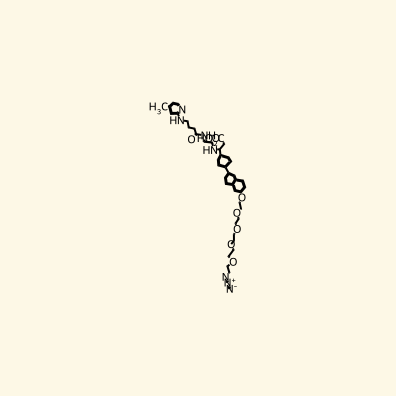 Cc1ccnc(NCCCC(=O)NCC(=O)NC(CC(=O)O)c2ccc(-c3ccc4cc(OCCOCCOCCOCCOCCN=[N+]=[N-])ccc4c3)cc2)c1